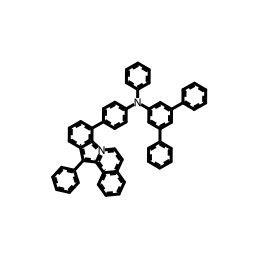 c1ccc(-c2cc(-c3ccccc3)cc(N(c3ccccc3)c3ccc(-c4cccc5c(-c6ccccc6)c6c7ccccc7ccn6c45)cc3)c2)cc1